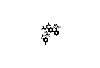 CC(C)CN(CC(C)C)c1ccc(-c2ccccc2-c2nnn[nH]2)cc1NC(=O)Nc1ccc(F)cc1F